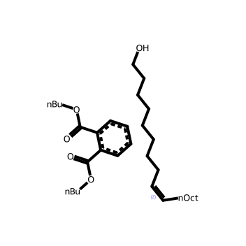 CCCCCCCC/C=C\CCCCCCCCO.CCCCOC(=O)c1ccccc1C(=O)OCCCC